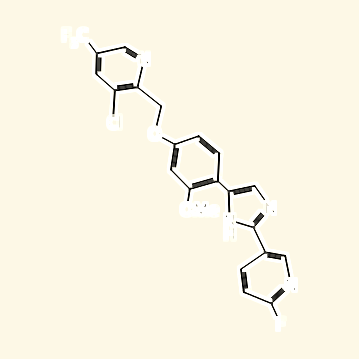 COc1cc(OCc2ncc(C(F)(F)F)cc2Cl)ccc1-c1cnc(-c2ccc(F)nc2)[nH]1